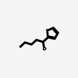 CCCCC([O])c1cccs1